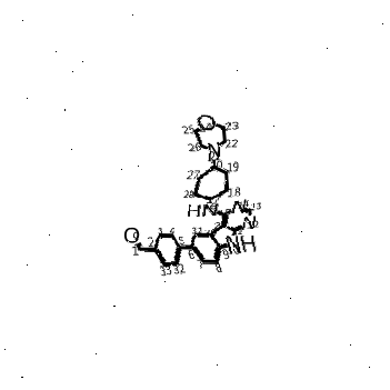 O=Cc1ccc(-c2ccc3[nH]c4ncnc(N[C@H]5CC[C@H](N6CCOCC6)CC5)c4c3c2)cc1